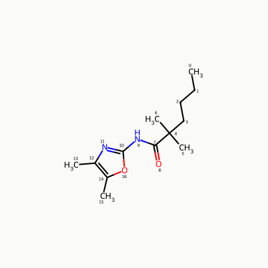 CCCCC(C)(C)C(=O)Nc1nc(C)c(C)o1